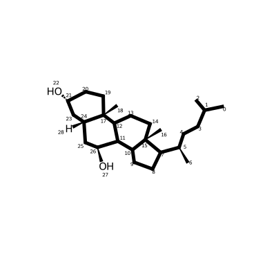 CC(C)CC[C@@H](C)C1CCC2C3C(CC[C@@]21C)[C@@]1(C)CC[C@@H](O)C[C@H]1C[C@@H]3O